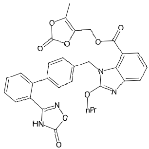 CCCOc1nc2cccc(C(=O)OCc3oc(=O)oc3C)c2n1Cc1ccc(-c2ccccc2-c2noc(=O)[nH]2)cc1